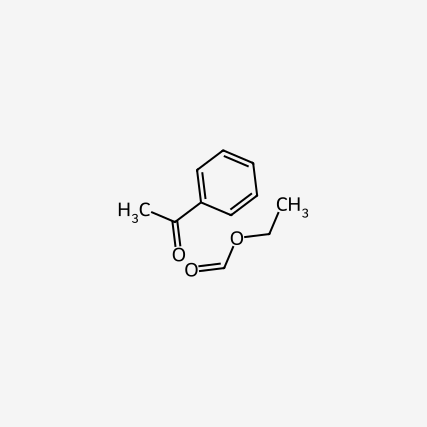 CC(=O)c1ccccc1.CCOC=O